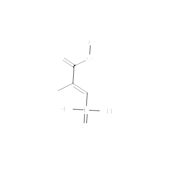 CCCOC(=O)C(C)=CP(=O)(O)O